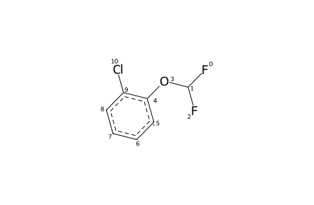 FC(F)Oc1[c]cccc1Cl